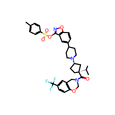 Cc1ccc(S(=O)(=O)Oc2noc3ccc(C4CCN([C@@H]5CC[C@@](C(=O)N6COc7ccc(C(F)(F)F)cc7C6)(C(C)C)C5)CC4)cc23)cc1